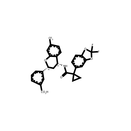 O=C(O)c1cccc([C@H]2C[C@@H](NC(=O)C3(c4ccc5c(c4)OC(F)(F)O5)CC3)c3ccc(C(F)(F)F)cc3O2)c1